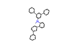 CN(c1cc(-c2ccccc2)cc(-c2ccccc2)c1)c1ccccc1-c1cccc(-c2ccccc2)c1